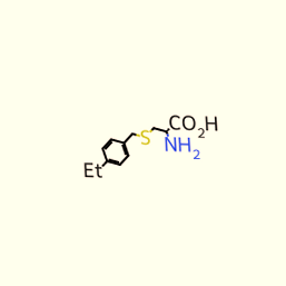 CCc1ccc(CSC[C@H](N)C(=O)O)cc1